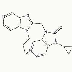 CC(C)CCn1c(Cn2c(=O)n(C3CC3)c3ccncc32)nc2cnccc21